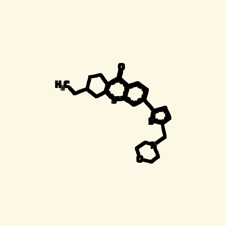 CCC1CCc2c(sc3cc(-c4ccc(CN5CCOCC5)s4)ccc3c2=O)C1